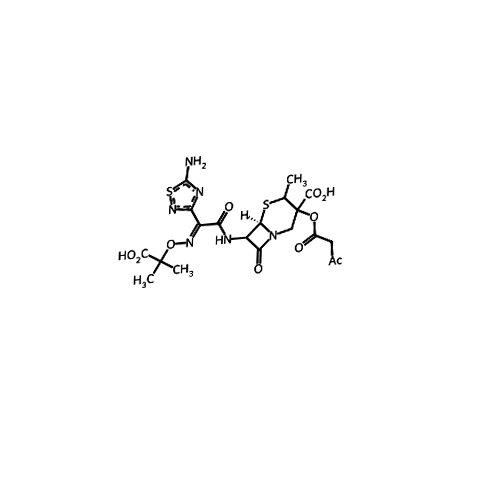 CC(=O)CC(=O)OC1(C(=O)O)CN2C(=O)C(NC(=O)C(=NOC(C)(C)C(=O)O)c3nsc(N)n3)[C@H]2SC1C